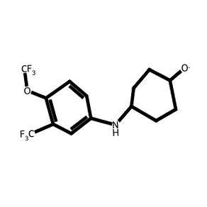 [O]C1CCC(Nc2ccc(OC(F)(F)F)c(C(F)(F)F)c2)CC1